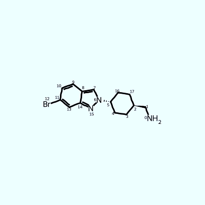 NC[C@H]1CC[C@H](n2cc3ccc(Br)cc3n2)CC1